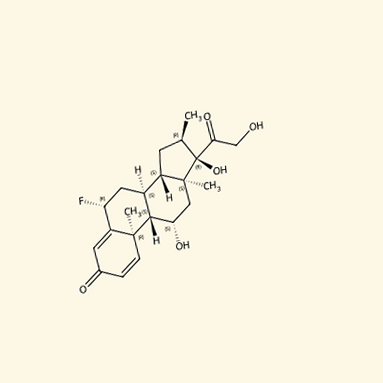 C[C@@H]1C[C@H]2[C@@H]3C[C@@H](F)C4=CC(=O)C=C[C@]4(C)[C@H]3[C@@H](O)C[C@]2(C)[C@@]1(O)C(=O)CO